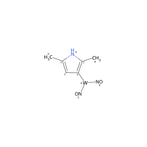 Cc1c[c]([W]([N]=O)[N]=O)c(C)[nH]1